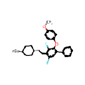 CCCC[C@H]1CC[C@H](CCc2c(F)cc(-c3ccccc3)c(Oc3ccc(OC(F)(F)F)cc3)c2F)CC1